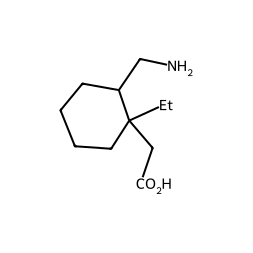 CCC1(CC(=O)O)CCCCC1CN